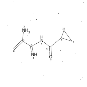 C=C(N)C(=N)NC(=O)C1CC1